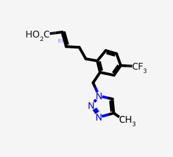 Cc1cn(Cc2cc(C(F)(F)F)ccc2CC/C=C/C(=O)O)nn1